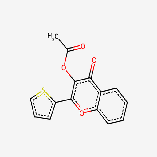 CC(=O)Oc1c(-c2cccs2)oc2ccccc2c1=O